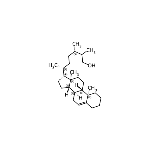 CC(CO)[C@@H](C)CC[C@@H](C)[C@H]1CC[C@H]2[C@@H]3CC=C4CCCC[C@]4(C)[C@H]3CC[C@]12C